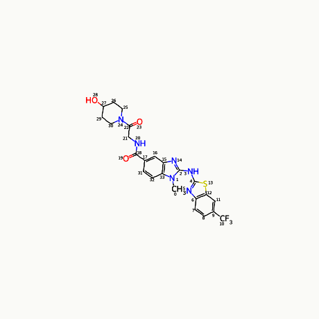 Cn1c(Nc2nc3ccc(C(F)(F)F)cc3s2)nc2cc(C(=O)NCC(=O)N3CCC(O)CC3)ccc21